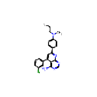 CN(CCC#N)c1ccc(-c2cc(-c3cccc(Br)c3)c3c(N)ncnc3n2)cc1